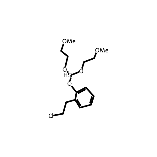 COCCO[SiH](OCCOC)Oc1ccccc1CCCl